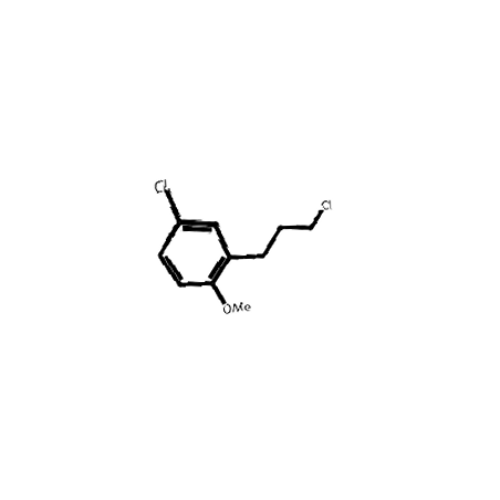 COc1ccc(Cl)cc1CCCCl